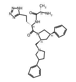 C[C@H](N)C(=O)N[C@@H](CCc1nnn[nH]1)C(=O)N1C[C@@H](c2ccccc2)C[C@H]1CN1CCC(c2ccccc2)C1